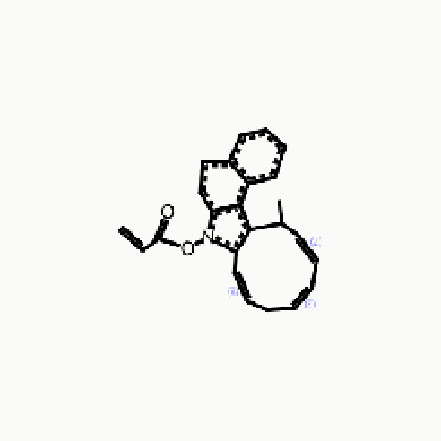 C=CC(=O)On1c2c(c3c4ccccc4ccc31)C(C)/C=C\C=C/C/C=C\2